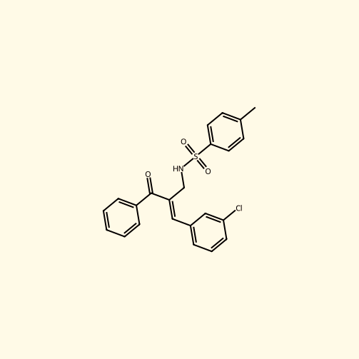 Cc1ccc(S(=O)(=O)NC/C(=C\c2cccc(Cl)c2)C(=O)c2ccccc2)cc1